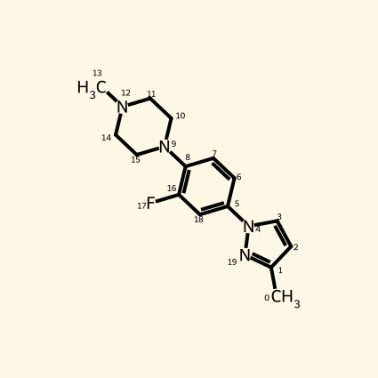 Cc1ccn(-c2ccc(N3CCN(C)CC3)c(F)c2)n1